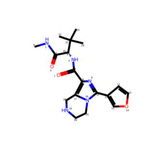 CNC(=O)[C@@H](NC(=O)c1nc(-c2ccoc2)n2c1CNCC2)C(C)(C)C